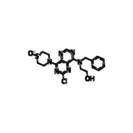 [O-][S+]1CCN(c2nc(Cl)nc3c(N(CCO)Cc4ccccc4)ncnc23)CC1